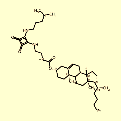 CC(C)CCC[C@@H](C)[C@H]1CC[C@H]2C3CC=C4C[C@@H](OC(=O)NCCNc5c(NCCCN(C)C)c(=O)c5=O)CC[C@]4(C)C3CC[C@]12C